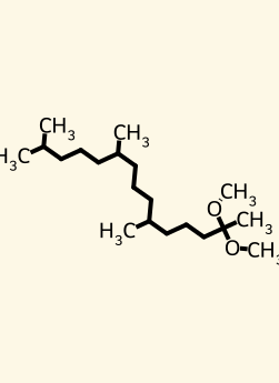 COC(C)(CCCC(C)CCCC(C)CCCC(C)C)OC